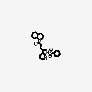 O=C(CCc1cn(S(=O)(=O)c2ccccc2)c2ncccc12)N1CCCC2CCCCC21